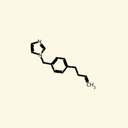 C=CCCc1ccc(Cn2ccnc2)cc1